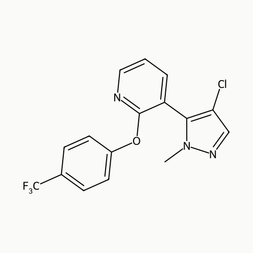 Cn1ncc(Cl)c1-c1cccnc1Oc1ccc(C(F)(F)F)cc1